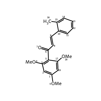 COc1cc(OC)c(C(=O)C=Cc2ccccc2C)c(OC)c1